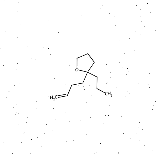 C=CCCC1(CCC)CCCO1